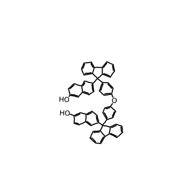 Oc1ccc2cc(C3(c4ccc(Oc5ccc(C6(c7ccc8cc(O)ccc8c7)c7ccccc7-c7ccccc76)cc5)cc4)c4ccccc4-c4ccccc43)ccc2c1